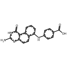 Nc1nc2ccc3c(Nc4ccc(C(=O)O)cc4)cccc3c2c(=O)[nH]1